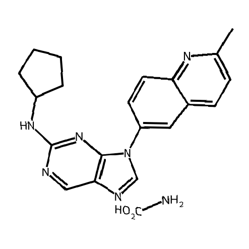 Cc1ccc2cc(-n3cnc4cnc(NC5CCCC5)nc43)ccc2n1.NC(=O)O